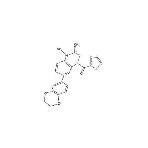 CC(=O)N1c2ccc(-c3ccc4c(c3)OCCO4)cc2N(C(=O)c2ccco2)C[C@@H]1C